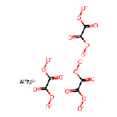 O=C(O[O-])C(=O)O[O-].O=C(O[O-])C(=O)O[O-].O=C(O[O-])C(=O)O[O-].[Al+3].[Al+3]